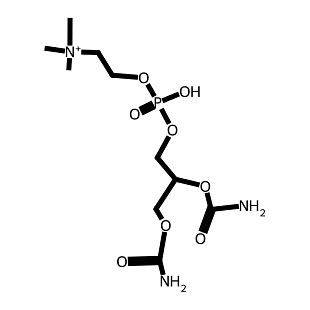 C[N+](C)(C)CCOP(=O)(O)OCC(COC(N)=O)OC(N)=O